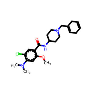 COc1cc(N(C)C)c(Cl)cc1C(=O)NC1CCN(CC2=CCC=CC2)CC1